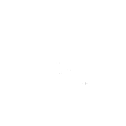 C=CCOC(=O)Oc1c(-c2ccccc2)cccc1-c1ccccc1